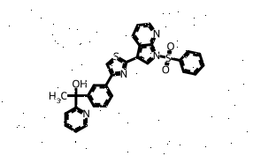 CC(O)(c1cccc(-c2csc(-c3cn(S(=O)(=O)c4ccccc4)c4ncccc34)n2)c1)c1ccccn1